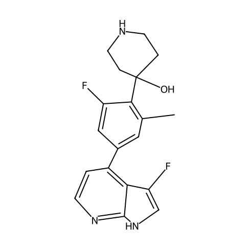 Cc1cc(-c2ccnc3[nH]cc(F)c23)cc(F)c1C1(O)CCNCC1